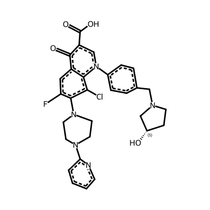 O=C(O)c1cn(-c2ccc(CN3CC[C@H](O)C3)cc2)c2c(Cl)c(N3CCN(c4ccccn4)CC3)c(F)cc2c1=O